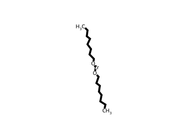 CCCCCCCC[O][Zr][O]CCCCCCCC